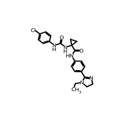 CCN1CCN=C1c1ccc(NC(=O)C2(NC(=O)Nc3ccc(Cl)cc3)CC2)cc1